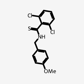 COc1ccc(CNC(=S)c2c(Cl)cccc2Cl)cc1